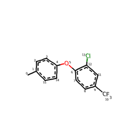 Cc1ccc(Oc2ccc(C(F)(F)F)cc2Cl)cc1